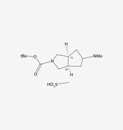 CNC1C[C@@H]2CN(C(=O)OC(C)(C)C)C[C@@H]2C1.CS(=O)(=O)O